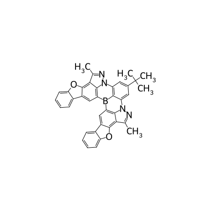 Cc1nn2c3c(cc4c5ccccc5oc4c13)B1c3c-2cc(C(C)(C)C)cc3-n2nc(C)c3c4oc5ccccc5c4cc1c32